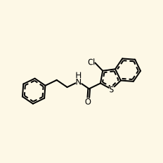 O=C(NCCc1ccccc1)c1sc2ccccc2c1Cl